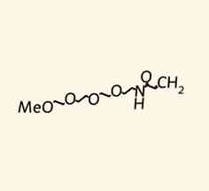 C=CC(=O)NCCOCCOCCOCCOC